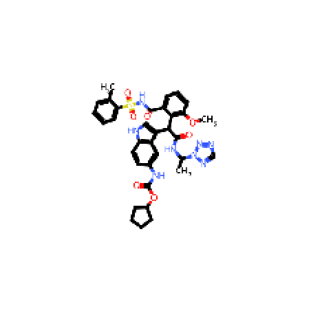 COc1cccc(C(=O)NS(=O)(=O)c2ccccc2C)c1C(C(=O)NC(C)n1ncnn1)c1c[nH]c2ccc(NC(=O)OC3CCCC3)cc12